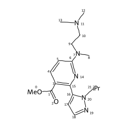 COC(=O)c1ccc(N(C)CCN(C)C)nc1-c1ccnn1C(C)C